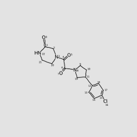 O=C1CN(C(=O)C(=O)N2CCC(c3ccc(Cl)cc3)C2)CCN1